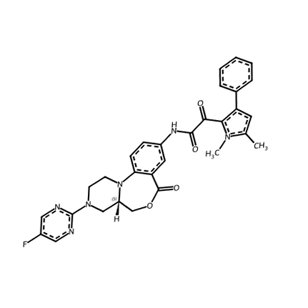 Cc1cc(-c2ccccc2)c(C(=O)C(=O)Nc2ccc3c(c2)C(=O)OC[C@@H]2CN(c4ncc(F)cn4)CCN32)n1C